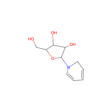 OCC1OC(N2C=CC=CC2)C(O)C1O